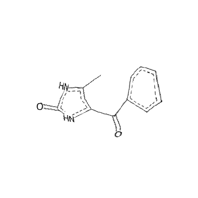 Cc1[nH]c(=O)[nH]c1C(=O)c1ccccc1